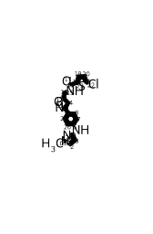 Cn1ccc(Nc2ccc(C3=NOC(CNC(=O)c4ccc(Cl)s4)C3)cc2)n1